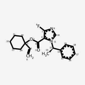 C=CC1(OC(=O)c2c(F)ncn2[C@H](C)c2ccccc2)CCCCC1